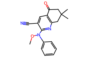 CON(c1ccccc1)c1nc2c(cc1C#N)C(=O)CC(C)(C)C2